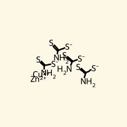 NC(=S)[S-].NC(=S)[S-].NC(=S)[S-].NC(=S)[S-].[Cu+2].[Zn+2]